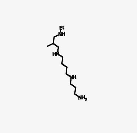 CCNCC(C)CNCCCCNCCCN